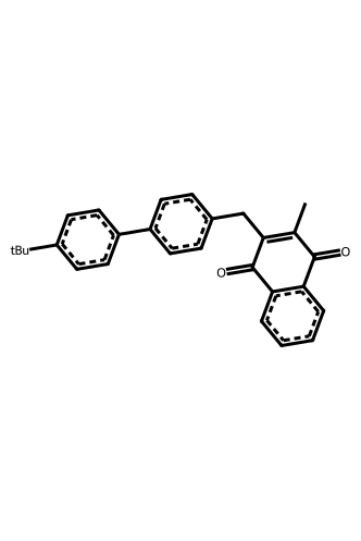 CC1=C(Cc2ccc(-c3ccc(C(C)(C)C)cc3)cc2)C(=O)c2ccccc2C1=O